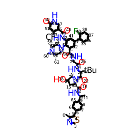 Cc1ncsc1-c1ccc(C(C)NC(=O)[C@@H]2C[C@@H](O)CN2C(=O)C(NC(=O)CNC(=O)c2cc(-c3ccccc3F)cc(NC(=O)c3c[nH]c(=O)cc3C(F)(F)F)c2N2C[C@@H](C)N(C)[C@@H](C)C2)C(C)(C)C)cc1